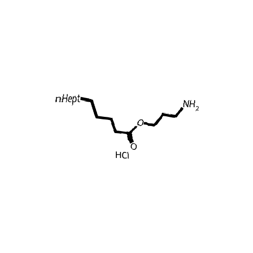 CCCCCCCCCCCC(=O)OCCCN.Cl